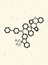 CC1(C)c2ccccc2-c2ccc(N(c3ccc(-c4ccccc4)cc3)c3cccc4c3-c3ccccc3C43c4ccccc4N4c5ccccc5Oc5cccc3c54)cc21